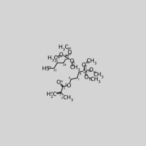 C=C(C)C(=O)OCCC[Si](OC)(OC)OC.CO[Si](CCCS)(OC)OC